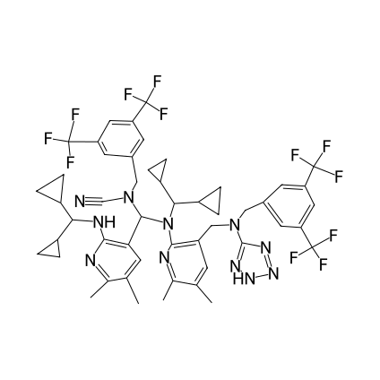 Cc1cc(C(N(C#N)Cc2cc(C(F)(F)F)cc(C(F)(F)F)c2)N(c2nc(C)c(C)cc2CN(Cc2cc(C(F)(F)F)cc(C(F)(F)F)c2)c2nn[nH]n2)C(C2CC2)C2CC2)c(NC(C2CC2)C2CC2)nc1C